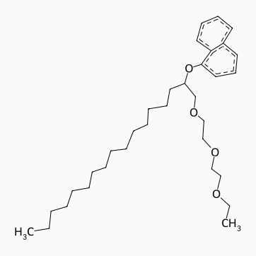 CCCCCCCCCCCCCCCC(COCCOCCOCC)Oc1cccc2ccccc12